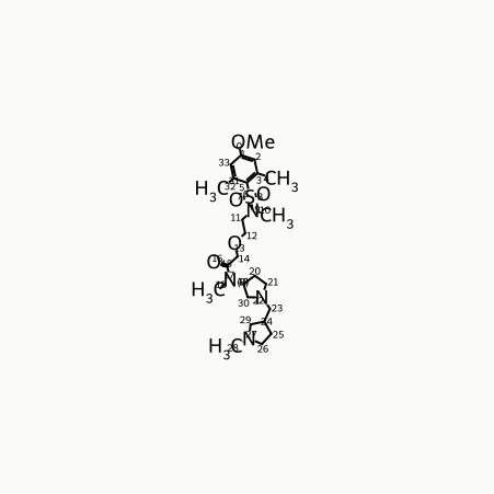 COc1cc(C)c(S(=O)(=O)N(C)CCOCC(=O)N(C)[C@@H]2CCN(CC3CCN(C)C3)C2)c(C)c1